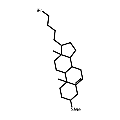 CSC1CCC2(C)C(=CCC3C2CCC2(C)C(CCCCC(C)C)CCC32)C1